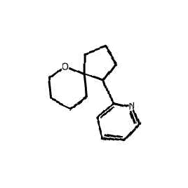 [CH]1CCOC2(C1)CCCC2c1ccccn1